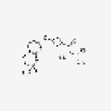 C[C@@H](O)[C@H](N)C(=O)N1CC(Oc2ccc3c(c2)O[B-](O)(O)CC3)C1